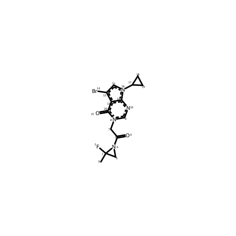 CC1(F)CN1C(=O)Cn1cnc2c(c(Br)cn2C2CC2)c1=O